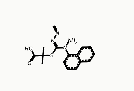 C=N/N=C(/SC(C)(C)C(=O)O)N(N)c1cccc2ccccc12